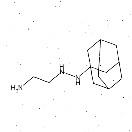 NCCNNC12CC3CC(CC(C3)C1)C2